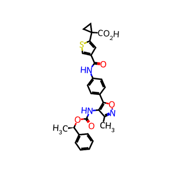 Cc1noc(-c2ccc(NC(=O)c3csc(C4(C(=O)O)CC4)c3)cc2)c1NC(=O)O[C@H](C)c1ccccc1